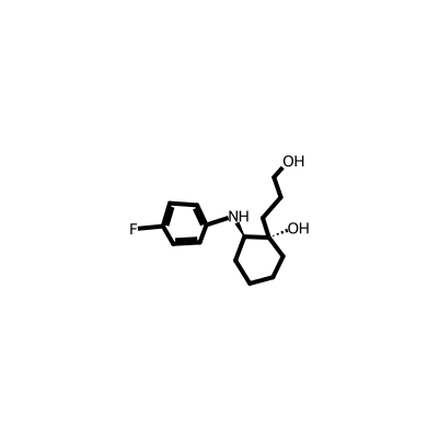 OCCC[C@@]1(O)CCCC[C@H]1Nc1ccc(F)cc1